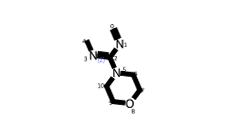 C=N/C(=N\C)N1CCOCC1